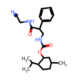 CC1CCC(C(C)C)C(OC(=O)NCC(C(=O)NCC#N)c2ccccc2)C1